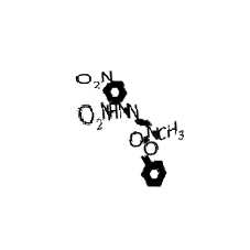 CN(C/C=N/Nc1ccc([N+](=O)[O-])cc1[N+](=O)[O-])C(=O)OCc1ccccc1